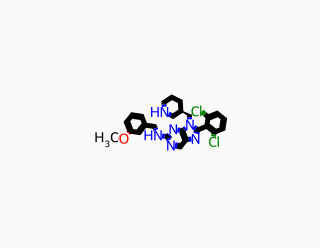 COc1cccc(CNc2ncc3nc(-c4c(Cl)cccc4Cl)n(C[C@@H]4CCCNC4)c3n2)c1